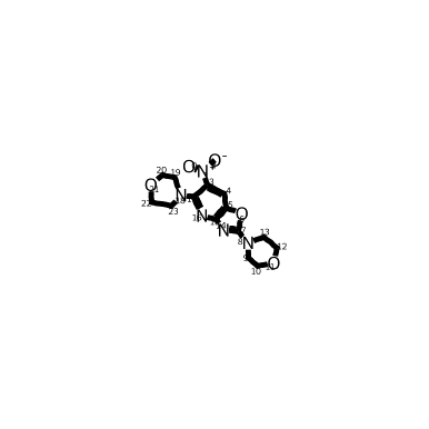 O=[N+]([O-])c1cc2oc(N3CCOCC3)nc2nc1N1CCOCC1